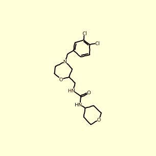 O=C(NCC1CN(Cc2ccc(Cl)c(Cl)c2)CCO1)NC1CCOCC1